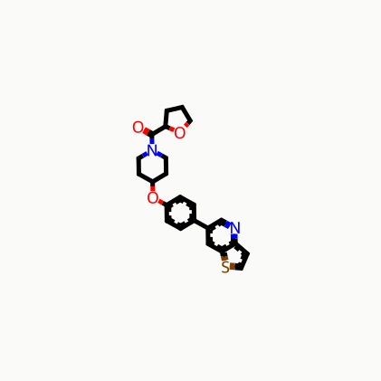 O=C(C1CCCO1)N1CCC(Oc2ccc(-c3cnc4ccsc4c3)cc2)CC1